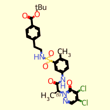 Cc1ccc(NC(=O)[C@H](C)n2ncc(Cl)c(Cl)c2=O)cc1S(=O)(=O)NCCc1ccc(C(=O)OC(C)(C)C)cc1